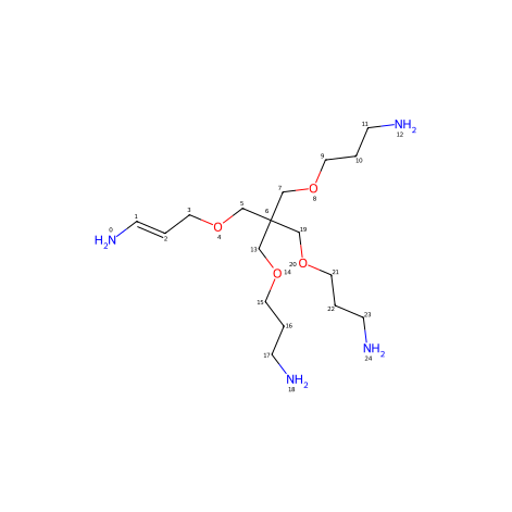 N/C=C/COCC(COCCCN)(COCCCN)COCCCN